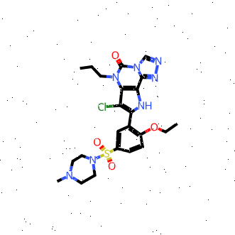 CCCn1c(=O)n2cnnc2c2[nH]c(-c3cc(S(=O)(=O)N4CCN(C)CC4)ccc3OCC)c(Cl)c21